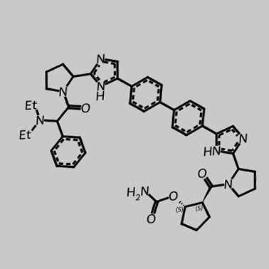 CCN(CC)C(C(=O)N1CCCC1c1ncc(-c2ccc(-c3ccc(-c4cnc(C5CCCN5C(=O)[C@H]5CCC[C@@H]5OC(N)=O)[nH]4)cc3)cc2)[nH]1)c1ccccc1